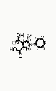 O=C(O)c1nn(-c2ccccc2)c(Br)c1C(=O)O